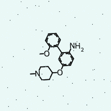 COc1ccccc1-c1cc(OC2CCN(C)CC2)ccc1N